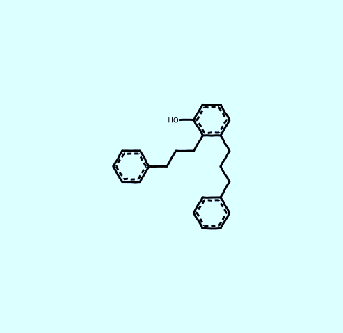 Oc1cccc(CCCc2ccccc2)c1CCCc1ccccc1